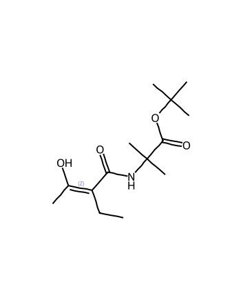 CC/C(C(=O)NC(C)(C)C(=O)OC(C)(C)C)=C(\C)O